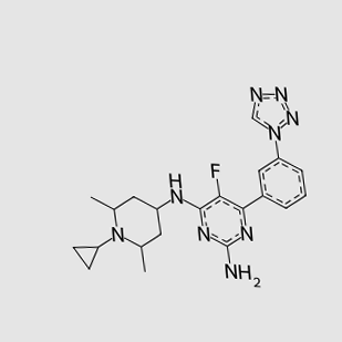 CC1CC(Nc2nc(N)nc(-c3cccc(-n4cnnn4)c3)c2F)CC(C)N1C1CC1